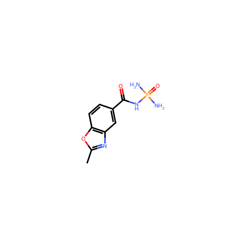 Cc1nc2cc(C(=O)NP(N)(N)=O)ccc2o1